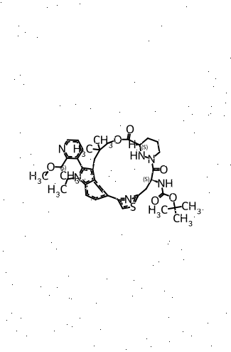 CCn1c(-c2cccnc2[C@H](C)OC)c2c3cc(ccc31)-c1csc(n1)C[C@H](NC(=O)OC(C)(C)C)C(=O)N1CCC[C@H](N1)C(=O)OCC(C)(C)C2